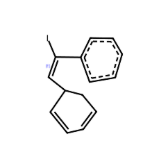 I/C(=C/C1C=CC=CC1)c1ccccc1